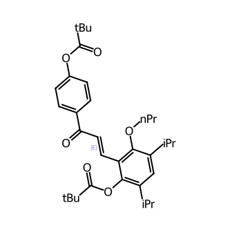 CCCOc1c(C(C)C)cc(C(C)C)c(OC(=O)C(C)(C)C)c1/C=C/C(=O)c1ccc(OC(=O)C(C)(C)C)cc1